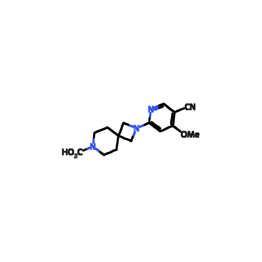 COc1cc(N2CC3(CCN(C(=O)O)CC3)C2)ncc1C#N